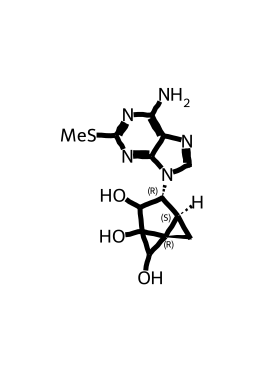 CSc1nc(N)c2ncn([C@H]3C(O)C4(O)C(O)[C@]45C[C@H]35)c2n1